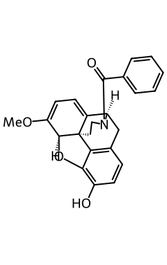 COC1=CC=C2[C@H]3Cc4ccc(O)c5c4[C@@]2(CCN3C(=O)c2ccccc2)[C@H]1O5